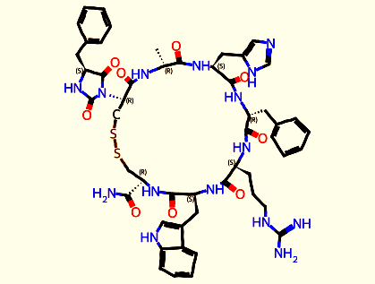 C[C@H]1NC(=O)[C@@H](N2C(=O)N[C@@H](Cc3ccccc3)C2=O)CSSC[C@@H](C(N)=O)NC(=O)[C@H](Cc2c[nH]c3ccccc23)NC(=O)[C@H](CCCNC(=N)N)NC(=O)[C@@H](Cc2ccccc2)NC(=O)[C@H](Cc2cnc[nH]2)NC1=O